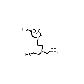 O=C(O)CN(CCS)CCN(CCS)CC(=O)O